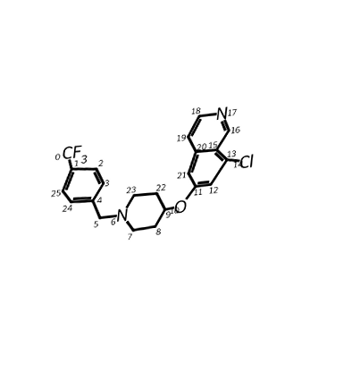 FC(F)(F)c1ccc(CN2CCC(Oc3cc(Cl)c4cnccc4c3)CC2)cc1